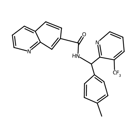 Cc1ccc(C(NC(=O)c2ccc3cccnc3c2)c2ncccc2C(F)(F)F)cc1